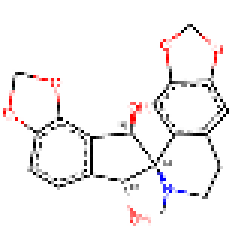 CN1CCc2cc3c(cc2[C@@]12[C@H](O)c1ccc4c(c1[C@H]2O)OCO4)OCO3